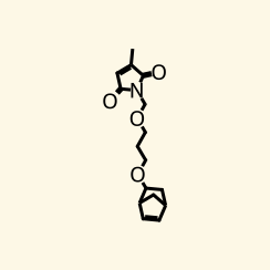 CC1=CC(=O)N(COCCCOC2CC3C=CC2C3)C1=O